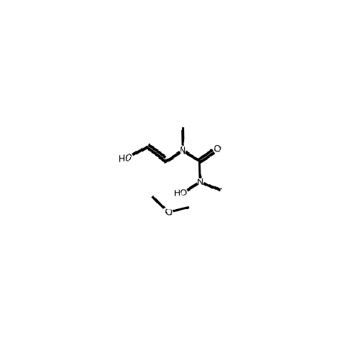 CN(O)C(=O)N(C)C=CO.COC